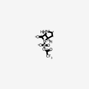 O=C1[C@H]2NCC[C@H]2N1S(=O)(=O)OC(=O)C(F)(F)F